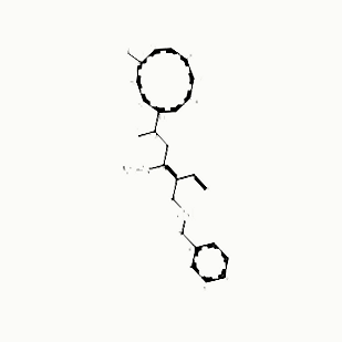 C=C/C(CNCc1ccccc1)=C(\CC(C)c1ccccccc(C)cc1)NC